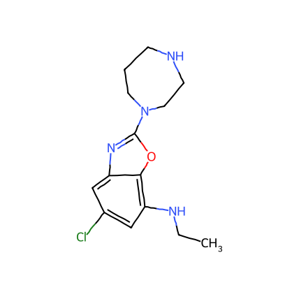 CCNc1cc(Cl)cc2nc(N3CCCNCC3)oc12